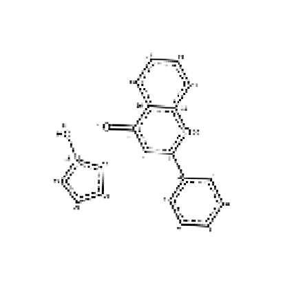 O=c1cc(-c2ccccc2)oc2ccccc12.On1cccc1